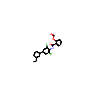 CCc1cccc(-c2cc(F)c(NC(=O)c3ccccc3OC=O)c(F)c2)c1